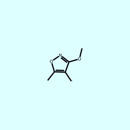 [CH2]c1c(OC)noc1C